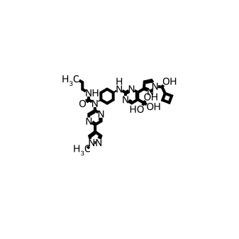 CCCNC(=O)N(c1cnc(-c2cnn(C)c2)cn1)[C@H]1CC[C@H](Nc2ncc(C(O)(O)O)c(-c3ccn(C(O)C4CCC4)n3)n2)CC1